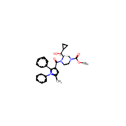 Cc1cc(C(=O)N2CCN(C(=O)OC(C)(C)C)C[C@H]2[C@@H](O)C2CC2)c(-c2ccccc2)n1-c1ccccc1